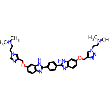 CN(C)CCn1cnc(COc2ccc3nc(-c4ccc(-c5nc6ccc(OCc7cn(CCN(C)C)nn7)cc6[nH]5)cc4)[nH]c3c2)c1